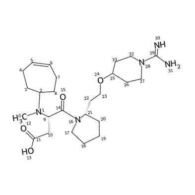 CN(C1CCC=CCC1)[C@@H](CC(=O)O)C(=O)N1CCCC[C@H]1CCOC1CCN(C(=N)N)CC1